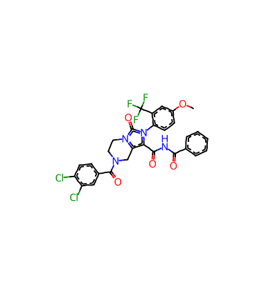 COc1ccc(-n2c(C(=O)NC(=O)c3ccccc3)c3n(c2=O)CCN(C(=O)c2ccc(Cl)c(Cl)c2)C3)c(C(F)(F)F)c1